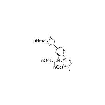 CCCCCCCCC(CCCCCCCC)n1c2cc(C)ccc2c2ccc(C3=CC(CCCCCC)=C(C)C3)cc21